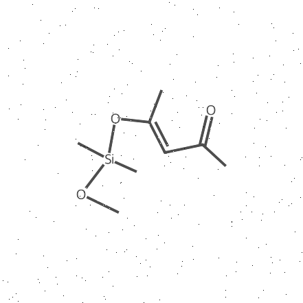 CO[Si](C)(C)OC(C)=CC(C)=O